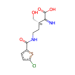 N=C(C(=O)O)[C@@H](CO)CCNC(=O)c1ccc(Cl)s1